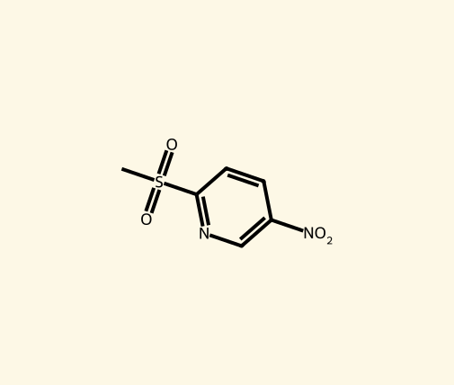 CS(=O)(=O)c1ccc([N+](=O)[O-])cn1